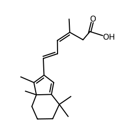 CC(=CC=CC1=C(C)C2(C)CCCC(C)(C)C2=C1)CC(=O)O